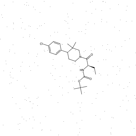 CC[C@@H](NC(=O)OC(C)(C)C)C(=O)N1CCC(c2ccc(Cl)cc2)C(C)(C)C1